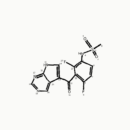 CS(=O)(=O)Nc1ccc(F)c(C(=O)c2c[nH]c3ncncc23)c1F